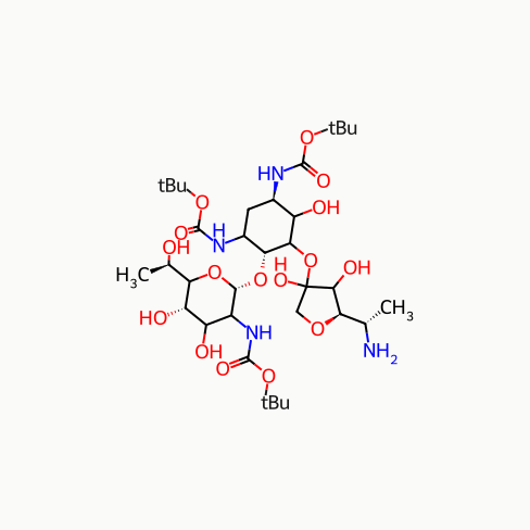 C[C@H](N)[C@H]1OCC(O)(OC2C(O)[C@H](NC(=O)OC(C)(C)C)CC(NC(=O)OC(C)(C)C)[C@H]2O[C@H]2OC([C@@H](C)O)[C@@H](O)C(O)C2NC(=O)OC(C)(C)C)C1O